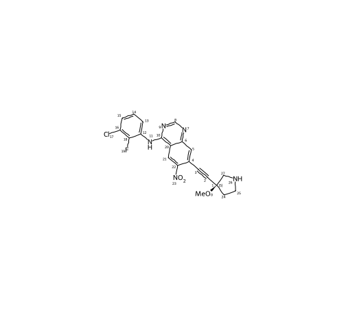 CO[C@]1(C#Cc2cc3ncnc(Nc4cccc(Cl)c4F)c3cc2[N+](=O)[O-])CCNC1